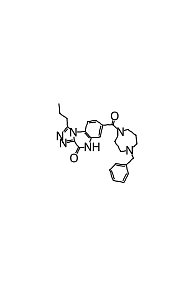 CCCc1nnc2c(=O)[nH]c3cc(C(=O)N4CCCN(Cc5ccccc5)CC4)ccc3n12